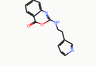 O=c1oc(NCCc2cccnc2)nc2ccccc12